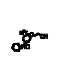 CCCC1(OCCO)CCN(Cc2ccccc2)CC1.Cl